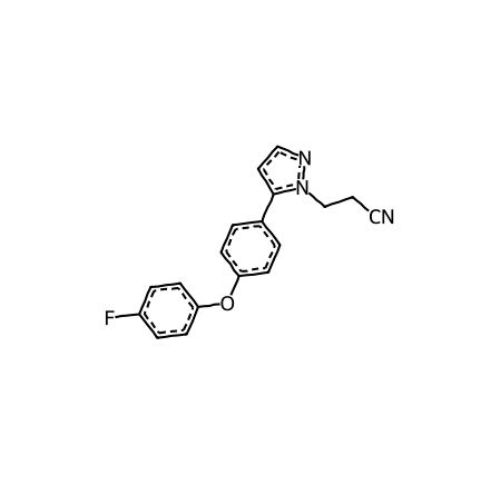 N#CCCn1nccc1-c1ccc(Oc2ccc(F)cc2)cc1